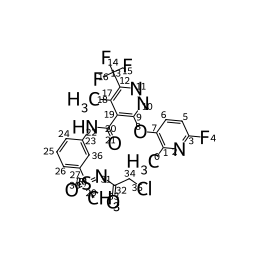 Cc1nc(F)ccc1Oc1nnc(C(F)(F)F)c(C)c1C(=O)Nc1cccc([S@@](C)(=O)=NC(=O)CCl)c1